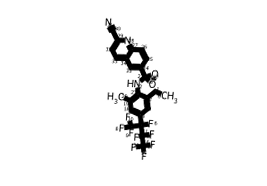 CCc1cc(C(F)(C(F)(F)F)C(F)(F)C(F)(F)F)cc(C)c1NC1(c2ccc3nc(C#N)ccc3c2)OO1